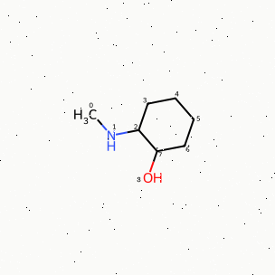 CNC1CCC[CH][C]1O